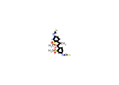 C/C(=C\c1ccc(N=C=S)cc1S(C)(=O)=O)c1ccc(N=C=S)cc1S(C)(=O)=O